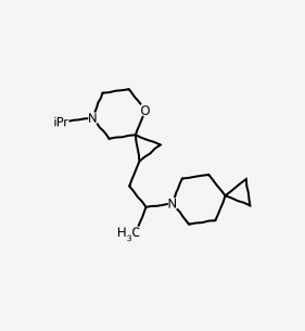 CC(C)N1CCOC2(CC2CC(C)N2CCC3(CC2)CC3)C1